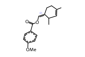 COc1ccc(C(=O)O/C=C2/CCC(C)=CC2C)cc1